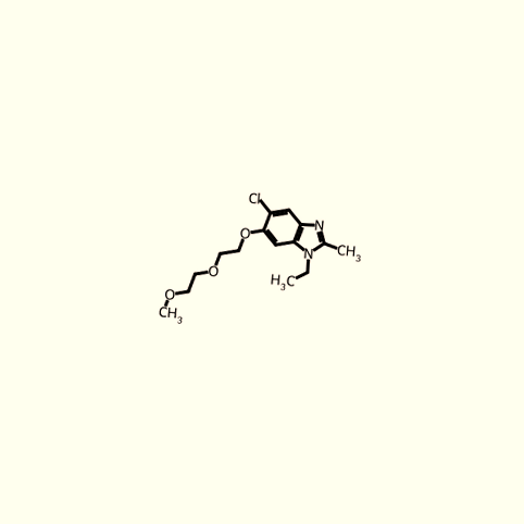 CCn1c(C)nc2cc(Cl)c(OCCOCCOC)cc21